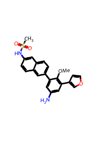 COc1c(-c2ccoc2)cc(N)cc1-c1ccc2cc(NS(C)(=O)=O)ccc2c1